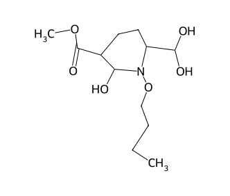 CCCCON1C(O)C(C(=O)OC)CCC1C(O)O